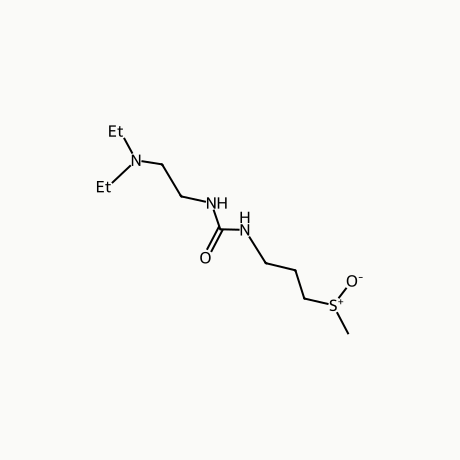 CCN(CC)CCNC(=O)NCCC[S+](C)[O-]